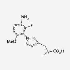 COc1ccc(N)c(F)c1-n1cc(CN(C)C(=O)O)cn1